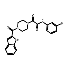 O=C(Nc1cccc(Br)c1)C(=O)N1CCN(C(=O)c2cc3ccccc3[nH]2)CC1